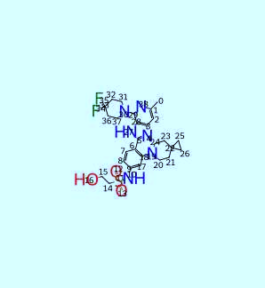 Cc1cc2nc(-c3ccc(NS(=O)(=O)CCO)cc3N3CCC4(CC3)CC4)[nH]c2c(N2CCC(F)(F)CC2)n1